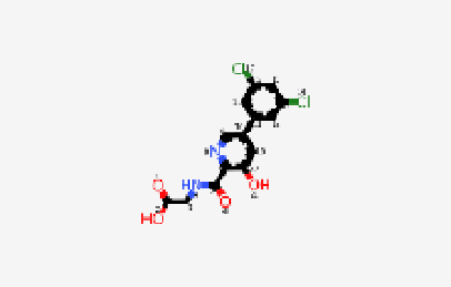 O=C(O)CNC(=O)c1ncc(-c2cc(Cl)cc(Cl)c2)cc1O